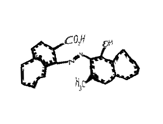 Cc1cc2ccccc2c(O)c1/N=N/c1c(C(=O)O)ccc2ccccc12